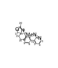 CNc1ncccc1-c1ccc2c(c1)C[C@]1(CC2)COC(C)=N1